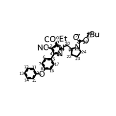 CCOC(=O)c1c(C#N)c(-c2ccc(Oc3ccccc3)cc2)nn1C[C@@H]1CCCN1C(=O)OC(C)(C)C